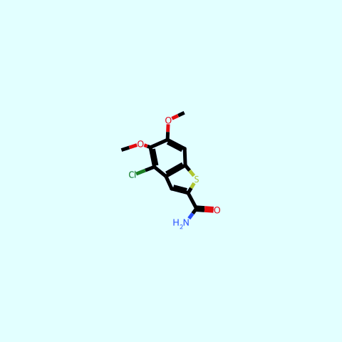 COc1cc2sc(C(N)=O)cc2c(Cl)c1OC